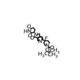 CC(C)(C)OC(=O)N1CCC(F)(c2cc3c(cn2)C(=O)N(C2CCC(=O)NC2=O)C3)CC1